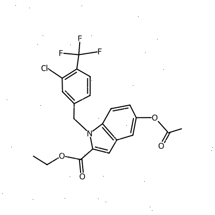 CCOC(=O)c1cc2cc(OC(C)=O)ccc2n1Cc1ccc(C(F)(F)F)c(Cl)c1